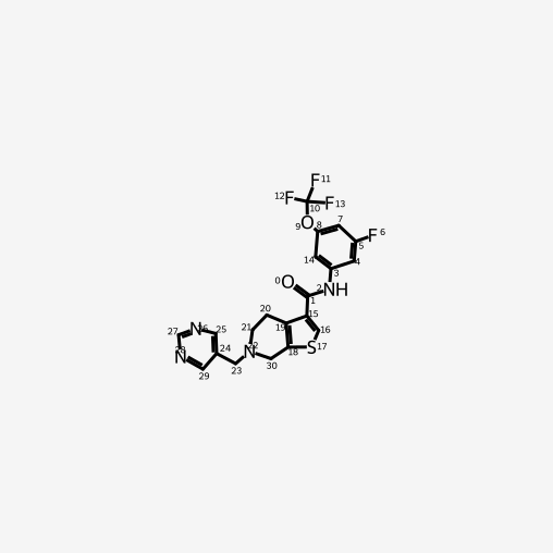 O=C(Nc1cc(F)cc(OC(F)(F)F)c1)c1csc2c1CCN(Cc1cncnc1)C2